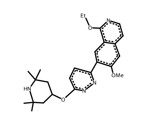 CCOc1nccc2cc(OC)c(-c3ccc(OC4CC(C)(C)NC(C)(C)C4)nn3)cc12